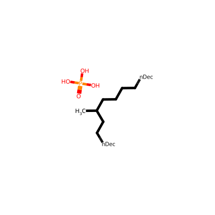 CCCCCCCCCCCCCCC(C)CCCCCCCCCCCC.O=P(O)(O)O